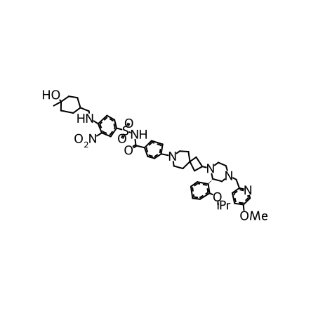 COc1ccc(CN2CCN(C3CC4(CCN(c5ccc(C(=O)NS(=O)(=O)c6ccc(NCC7CCC(C)(O)CC7)c([N+](=O)[O-])c6)cc5)CC4)C3)[C@@H](c3ccccc3OC(C)C)C2)nc1